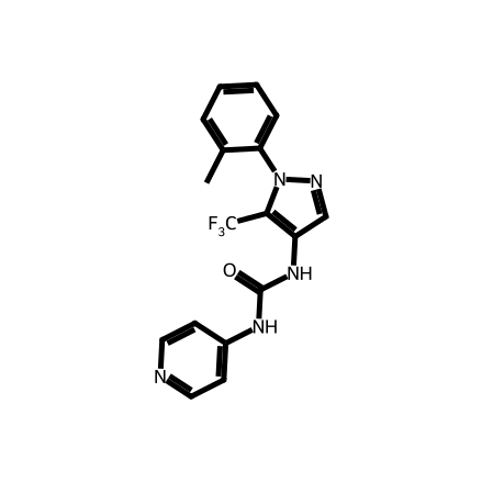 Cc1ccccc1-n1ncc(NC(=O)Nc2ccncc2)c1C(F)(F)F